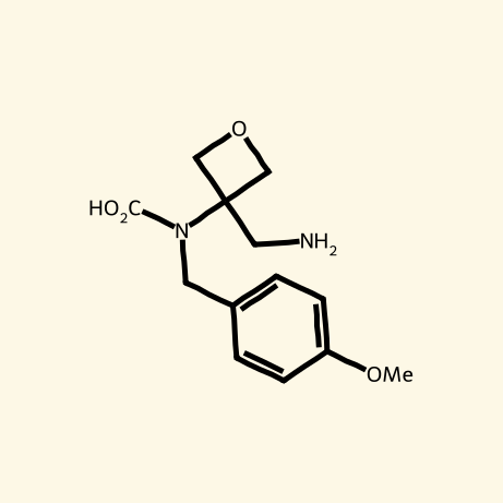 COc1ccc(CN(C(=O)O)C2(CN)COC2)cc1